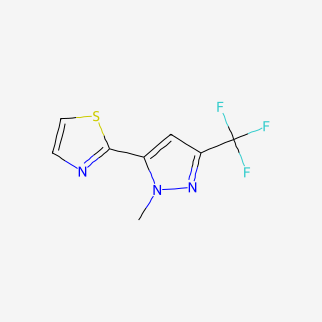 Cn1nc(C(F)(F)F)cc1-c1nccs1